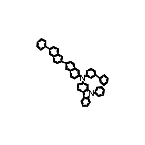 c1ccc(-c2cccc(N(c3ccc4cc(-c5ccc6cc(-c7ccccc7)ccc6c5)ccc4c3)c3ccc4c5ccccc5n(-c5ccccc5)c4c3)c2)cc1